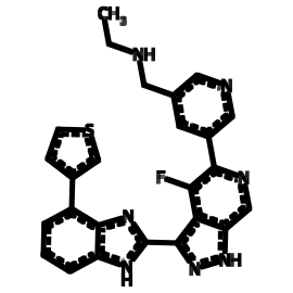 CCNCc1cncc(-c2ncc3[nH]nc(-c4nc5c(-c6ccsc6)cccc5[nH]4)c3c2F)c1